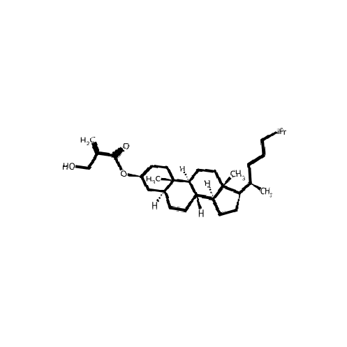 C=C(CO)C(=O)O[C@H]1CC[C@@]2(C)[C@@H](CC[C@@H]3[C@@H]2CC[C@]2(C)[C@@H]([C@H](C)CCCC(C)C)CC[C@@H]32)C1